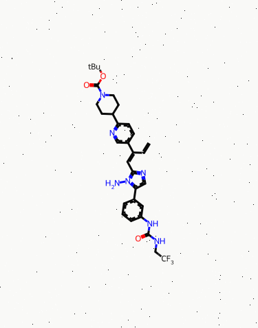 C=C/C(=C\c1ncc(-c2cccc(NC(=O)NCC(F)(F)F)c2)n1N)c1ccc(C2CCN(C(=O)OC(C)(C)C)CC2)nc1